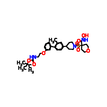 Cc1cc(C2CCN(S(=O)(=O)C3(C(=O)NO)CCOCC3)CC2)ccc1-c1cccc(OCCNC(=O)OC(C)(C)C)c1